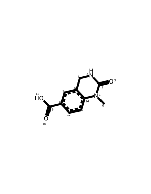 CN1C(=O)NCc2cc(C(=O)O)ccc21